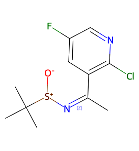 C/C(=N/[S+]([O-])C(C)(C)C)c1cc(F)cnc1Cl